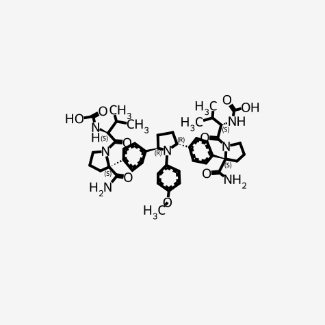 COc1ccc(N2[C@@H](c3ccc([C@]4(C(N)=O)CCCN4C(=O)[C@@H](NC(=O)O)C(C)C)cc3)CC[C@@H]2c2ccc([C@]3(C(N)=O)CCCN3C(=O)[C@@H](NC(=O)O)C(C)C)cc2)cc1